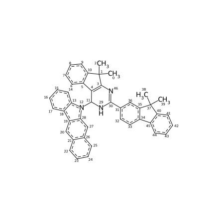 CC1(C)C2=C(c3ccccc31)C(n1c3ccccc3c3cc4ccccc4cc31)NC(c1ccc3c(c1)C(C)(C)c1ccccc1-3)=N2